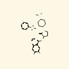 CC(C)N(C)[C@@H]1CC[C@H](N2CCC(Nc3ncnc4cc(F)c(F)cc34)C2=O)[C@H](CS(=O)(=O)c2ccccc2)C1